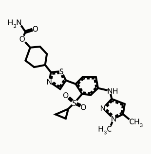 Cc1cc(Nc2ccc(-c3cnc(C4CCC(OC(N)=O)CC4)s3)c(S(=O)(=O)C3CC3)c2)nn1C